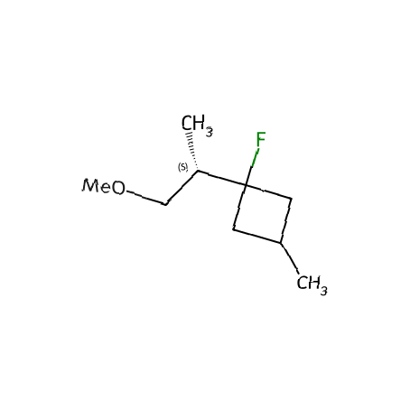 COC[C@H](C)C1(F)CC(C)C1